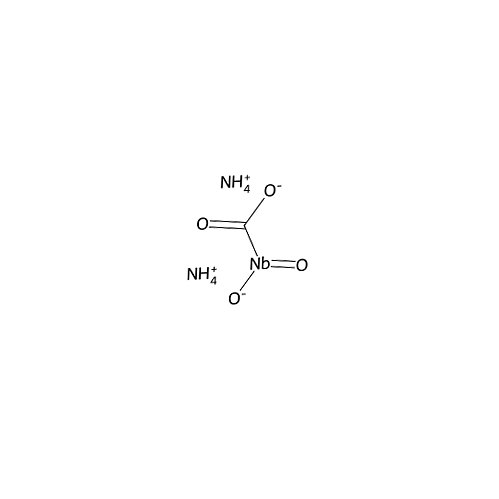 O=[C]([O-])[Nb](=[O])[O-].[NH4+].[NH4+]